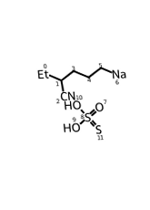 CCC(C#N)CC[CH2][Na].O=S(O)(O)=S